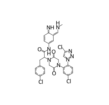 CN/C=C1/C=C(NC(=O)C(Cc2ccc(Cl)cc2)N2CC(=O)N(c3cc(Cl)ccc3-n3cc(Cl)nn3)CC2=O)C=CC1=N